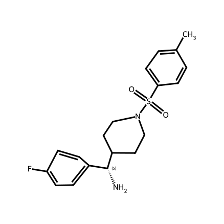 Cc1ccc(S(=O)(=O)N2CCC([C@H](N)c3ccc(F)cc3)CC2)cc1